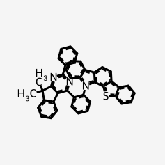 CC1(C)c2ccccc2-c2c(-c3ccccc3-n3c4ccccc4c4ccc5c6ccccc6sc5c43)nc(-c3ccccc3)nc21